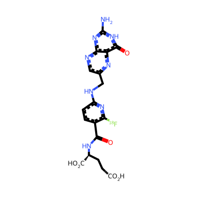 Nc1nc2ncc(CNc3ccc(C(=O)N[C@@H](CCC(=O)O)C(=O)O)c([18F])n3)nc2c(=O)[nH]1